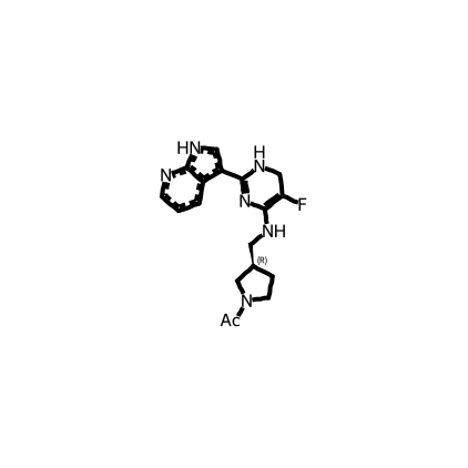 CC(=O)N1CC[C@H](CNC2=C(F)CNC(c3c[nH]c4ncccc34)=N2)C1